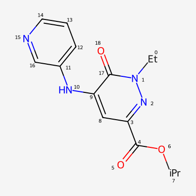 CCn1nc(C(=O)OC(C)C)cc(Nc2cccnc2)c1=O